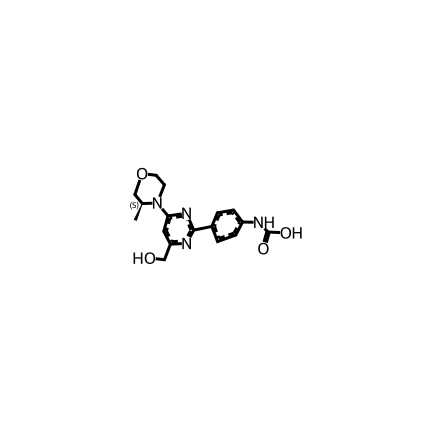 C[C@H]1COCCN1c1cc(CO)nc(-c2ccc(NC(=O)O)cc2)n1